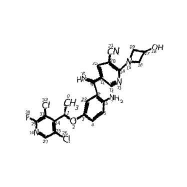 C[C@@H](Oc1ccc(N)c(C(=N)c2cnc(N3CC(O)C3)c(C#N)c2)c1)c1c(Cl)cnc(F)c1Cl